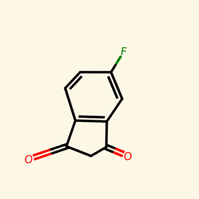 O=C1CC(=O)c2cc(F)ccc21